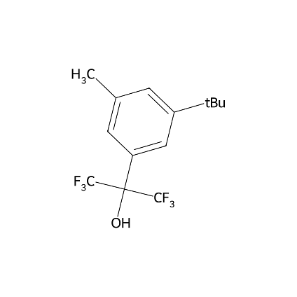 Cc1cc(C(C)(C)C)cc(C(O)(C(F)(F)F)C(F)(F)F)c1